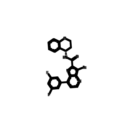 CC(=O)c1c(C(=O)N[C@H]2CCOc3ccccc32)sc2c(-c3cc(F)cc(F)c3)ccnc12